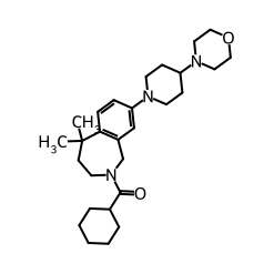 CC1(C)CCN(C(=O)C2CCCCC2)Cc2cc(N3CCC(N4CCOCC4)CC3)ccc21